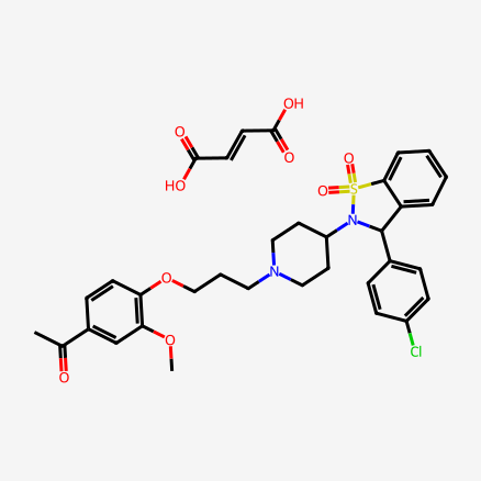 COc1cc(C(C)=O)ccc1OCCCN1CCC(N2C(c3ccc(Cl)cc3)c3ccccc3S2(=O)=O)CC1.O=C(O)C=CC(=O)O